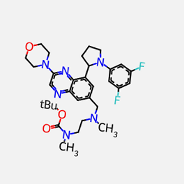 CN(CCN(C)C(=O)OC(C)(C)C)Cc1cc(C2CCCN2c2cc(F)cc(F)c2)c2nc(N3CCOCC3)cnc2c1